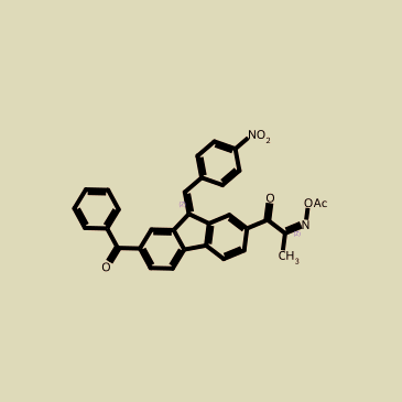 CC(=O)O/N=C(/C)C(=O)c1ccc2c(c1)/C(=C\c1ccc([N+](=O)[O-])cc1)c1cc(C(=O)c3ccccc3)ccc1-2